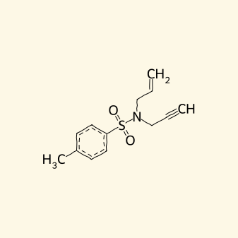 C#CCN(CC=C)S(=O)(=O)c1ccc(C)cc1